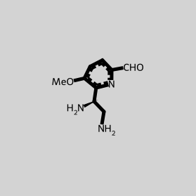 COc1ccc(C=O)nc1[C@H](N)CN